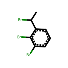 CC(Br)c1cccc(Br)c1Br